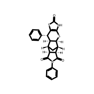 O=C1[C@@H]2[C@@H]3C[C@H]([C@@H]2C(=O)N1c1ccccc1)[C@H]1[C@H](c2ccccc2)c2sc(=O)[nH]c2S[C@@H]31